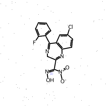 O=[N+]([O-])/C(=N\O)C1=Nc2ccc(Cl)cc2C(c2ccccc2F)=NC1